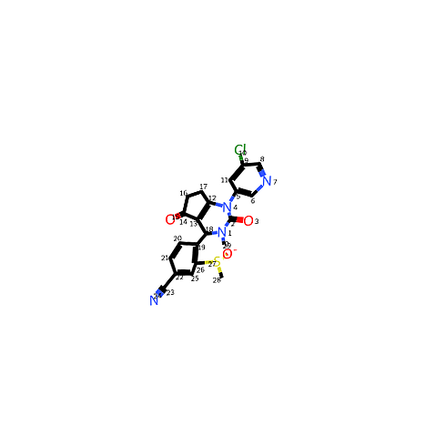 CN1C(=O)N(c2cncc(Cl)c2)C2=C(C(=O)CC2)C1c1ccc(C#N)cc1[S+](C)[O-]